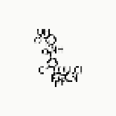 CC(c1ccc(C(=O)Nc2cccc(C(=O)O)n2)cc1Cl)C(O)(c1ccnc(Cl)c1)C(F)(F)F